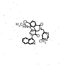 CCNC[C@@H]1CN(c2cncc3ccccc23)C(=O)[C@]12CN(Cc1cc(C)ncn1)C(=O)c1ccc(Cl)cc12